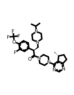 CC(C)N1CCN(C[C@@H](C(=O)N2CCN(c3ncnc4c3[C@H](C)CC4)CC2)c2ccc(OC(F)(F)F)c(F)c2)CC1